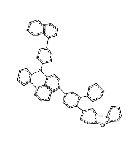 c1ccc(-c2cc(-c3ccc(N(c4ccc(-c5cccc6ccccc56)cc4)c4ccccc4-c4ccccc4)cc3)ccc2-c2ccc3oc4ccccc4c3c2)cc1